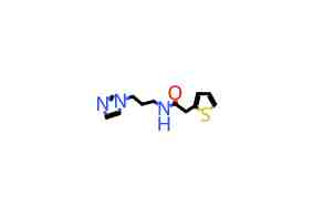 O=C(Cc1cccs1)NCCCn1ccnc1